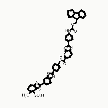 Cc1ccc2nc(-c3ccc4nc(-c5ccc(NC(=O)c6ccc7nc(-c8ccc(NC(=O)OCC9c%10ccccc%10-c%10ccccc%109)cc8)sc7c6)cc5)sc4c3)sc2c1S(=O)(=O)O